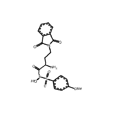 COc1ccc(S(=O)(=O)N(O)C(=O)C(N)CCN2C(=O)c3ccccc3C2=O)cc1